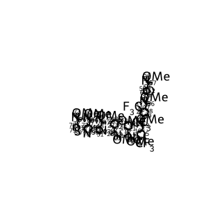 CON=C(C)c1ccc(C(F)(F)F)cc1.CON=C(C)c1cccc(C(F)(F)F)c1.CON=C(C)c1cccc(OC)c1.CON=C(C)c1ccccc1C(F)(F)F.CON=C(C)c1cccn1C.CON=C(C)c1ccco1.CON=C(C)c1ccncc1.CON=C(C)c1ccsc1